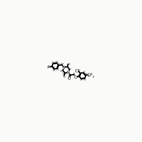 CC1CN(C(=O)COc2ccc(C(F)(F)F)cc2Cl)C(C)CN1Cc1ccc(F)cc1